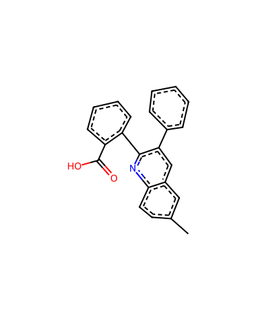 Cc1ccc2nc(-c3ccccc3C(=O)O)c(-c3ccccc3)cc2c1